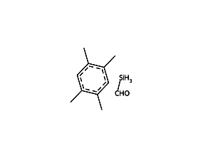 Cc1cc(C)c(C)cc1C.O=C[SiH3]